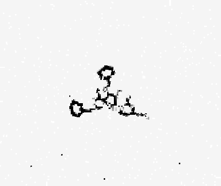 Nc1ccn([C@@H]2O[C@@](COCc3ccccc3)(C(F)F)[C@@H](OCc3ccccc3)[C@@H]2F)c(=O)n1